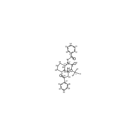 CC(C)(C)OC(=O)N(CC(=O)c1ccccc1)[C@@H]1CCCC[C@H]1NCC(=O)c1ccccc1